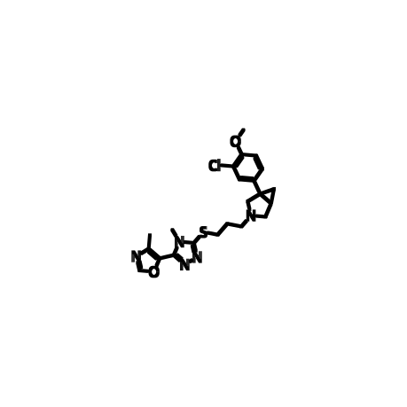 COc1ccc(C23CC2CN(CCCSc2nnc(-c4ocnc4C)n2C)C3)cc1Cl